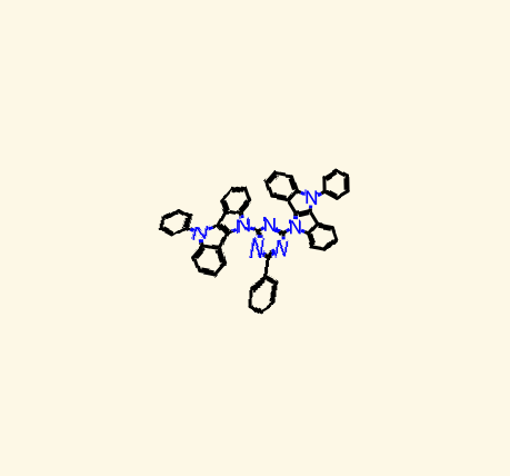 c1ccc(-c2nc(-n3c4ccccc4c4c3c3ccccc3n4-c3ccccc3)nc(-n3c4ccccc4c4c3c3ccccc3n4-c3ccccc3)n2)cc1